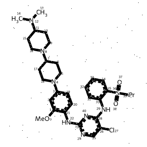 COc1cc(N2CCC(N3CCC(N(C)C)CC3)CC2)ccc1Nc1ncc(Cl)c(Nc2ccccc2S(=O)(=O)C(C)C)n1